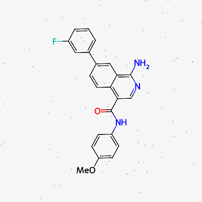 COc1ccc(NC(=O)c2cnc(N)c3cc(-c4cccc(F)c4)ccc23)cc1